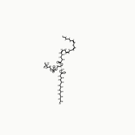 CCCCC/C=C\C/C=C\C/C=C\C/C=C\CCCC(=O)O[C@H](COC(=O)CCCCCCCCCCCCC)COP(=O)([O-])OCC[N+](C)(C)C